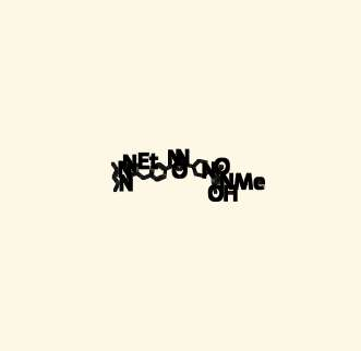 CCc1nn2c(C)cc(C)nc2c1Cc1ccc(-c2nnc(C3CCN(C(=O)[C@H](CO)NC)CC3)o2)cc1